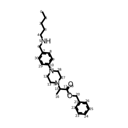 CCCCCNCc1ccc(N2CCN(C(C)C(=O)OCc3ccccc3)CC2)cc1